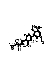 Cc1ccc2[nH]ncc2c1-c1ccc2cc(NC(=O)C3CC3)ncc2c1